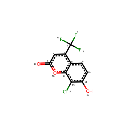 O=c1cc(C(F)(F)F)c2ccc(O)c(Cl)c2o1